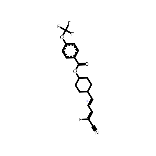 N#CC(F)=C/C=C/C1CCC(OC(=O)c2ccc(OC(F)(F)F)cc2)CC1